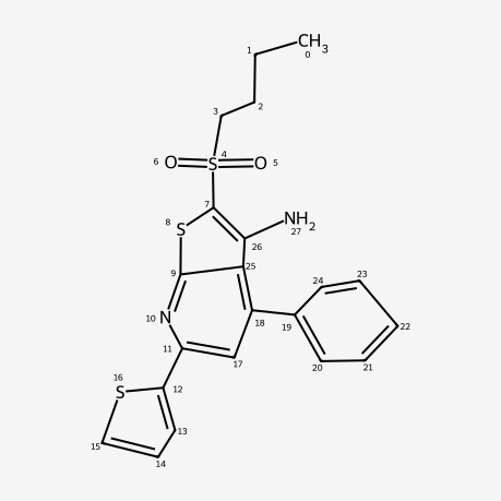 CCCCS(=O)(=O)c1sc2nc(-c3cccs3)cc(-c3ccccc3)c2c1N